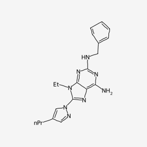 CCCc1cnn(-c2nc3c(N)nc(NCc4ccccc4)nc3n2CC)c1